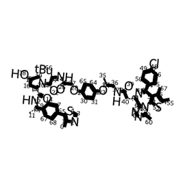 Cc1ncsc1-c1ccc([C@H](C)NC(=O)[C@@H]2C[C@@H](O)CN2C(=O)[C@@H](NC(=O)COc2ccc(O[C@@H](C)CNC(=O)C[C@@H]3N=C(c4ccc(Cl)cc4)c4c(sc(C)c4C)-n4c(C)nnc43)cc2)C(C)(C)C)cc1